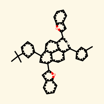 Cc1cccc(-c2cc(-c3cc4ccccc4o3)c3ccc4c(-c5cccc(C(C)(C)C)c5)cc(-c5cc6ccccc6o5)c5ccc2c3c45)c1